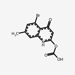 Cc1cc(Br)c2c(=O)cc(OC(=O)O)[nH]c2c1